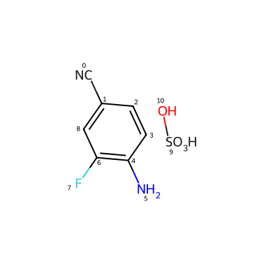 N#Cc1ccc(N)c(F)c1.O=S(=O)(O)O